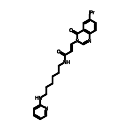 CC(C)c1ccc2ncn(C=CC(=O)NCCCCCCNc3ccccn3)c(=O)c2c1